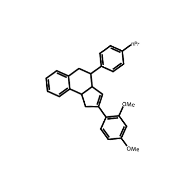 CCCc1ccc(C2Cc3ccccc3C3CC(c4ccc(OC)cc4OC)=CC23)cc1